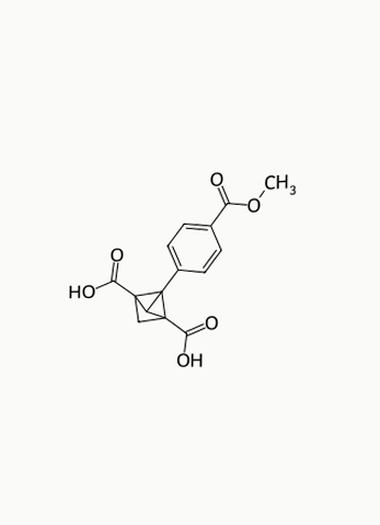 COC(=O)c1ccc(C2C3(C(=O)O)CC2(C(=O)O)C3)cc1